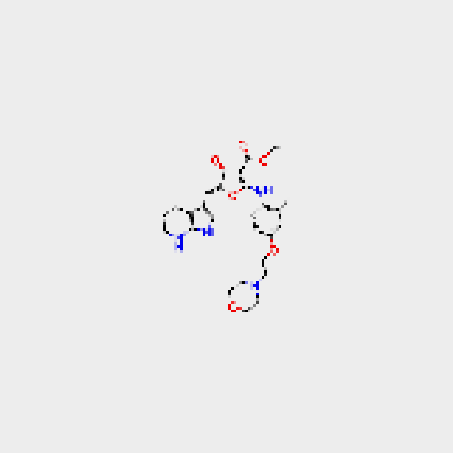 CCOC(=O)C1=C(Nc2ccc(OCCN3CCOCC3)cc2C)O/C(=C\c2c[nH]c3c2CCCN3)C1=O